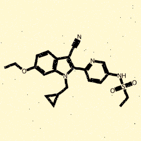 CCOc1ccc2c(C#N)c(-c3ccc(NS(=O)(=O)CC)cn3)n(CC3CC3)c2c1